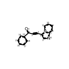 O=C(C#Cc1cnc2ccccn12)c1ccccc1